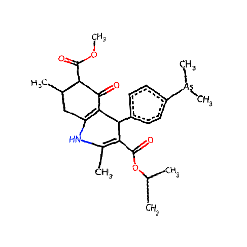 COC(=O)C1C(=O)C2=C(CC1C)NC(C)=C(C(=O)OC(C)C)C2c1ccc([As](C)C)cc1